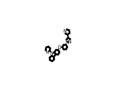 c1ccc(-n2c3ccccc3c3ccc(Oc4cccc(-n5cc(-c6cccnc6)cn5)c4)cc32)nc1